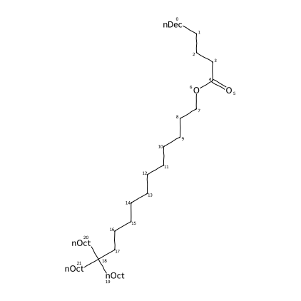 CCCCCCCCCCCCCC(=O)OCCCCCCCCCCCC(CCCCCCCC)(CCCCCCCC)CCCCCCCC